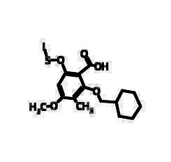 COc1cc(OSI)c(C(=O)O)c(OCC2CCCCC2)c1C